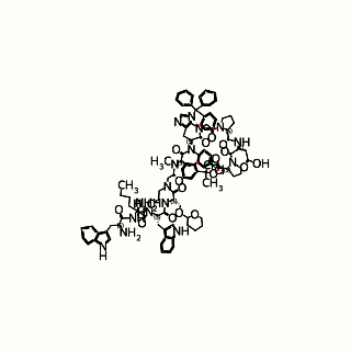 CCCCC(N)(NC(=O)[C@@H](N)Cc1c[nH]c2ccccc12)C(=O)N[C@@H](Cc1c[nH]c2ccccc12)C(=O)N[C@@H](COC1CCCCO1)C(=O)N(CCC)CC(=O)N(C)[C@H]1Cc2cc(Cl)ccc2N([C@H]2Cc3ncn(C(c4ccccc4)(c4ccccc4)c4ccccc4)c3N(CC(=O)N3CCC[C@H]3C(=O)N[C@@H](CC(=O)O)C(=O)N3CCC[C@H]3C(=O)OC(C)(C)c3ccccc3)C2=O)C1=O